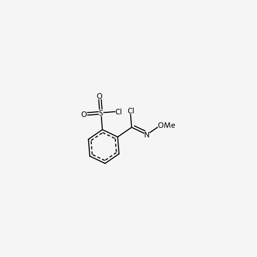 CON=C(Cl)c1ccccc1S(=O)(=O)Cl